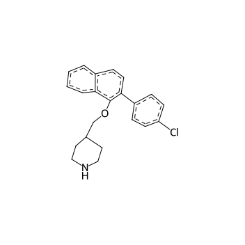 Clc1ccc(-c2ccc3ccccc3c2OCC2CCNCC2)cc1